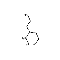 CCCCCC[SiH]1CCO[SiH2][SiH2]1